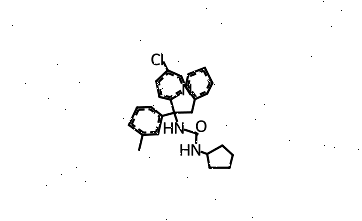 Cc1cccc(C(Cc2ccccc2)(NC(=O)NC2CCCC2)c2ccc(Cl)cn2)c1